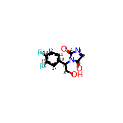 O=C1C=NC(=O)N1C(CO)c1ccc(F)c(F)c1